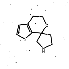 c1cc2c(s1)C1(CCNC1)OCC2